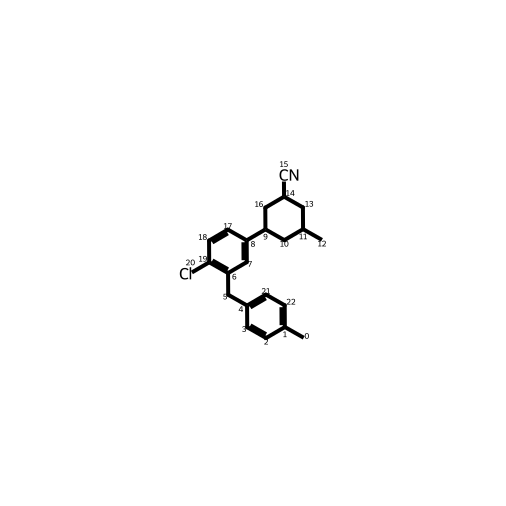 Cc1ccc(Cc2cc(C3CC(C)CC(C#N)C3)ccc2Cl)cc1